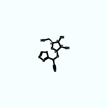 N#CN(O[C@H]1O[C@H](CO)[C@@H](O)[C@H]1O)c1nncs1